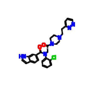 O=C(CN(C(=O)c1ccc2cc[nH]c2c1)c1ccccc1Cl)N1CCN(CCc2cccnn2)CC1